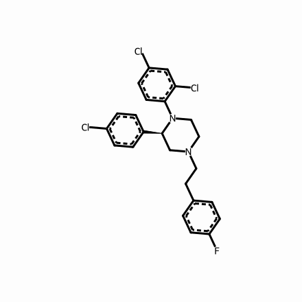 Fc1ccc(CCN2CCN(c3ccc(Cl)cc3Cl)[C@H](c3ccc(Cl)cc3)C2)cc1